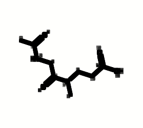 CC(=O)NCC(=O)N(C)CCC(=O)O